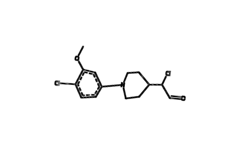 COc1cc(N2CCC(C(Cl)C=O)CC2)ccc1Cl